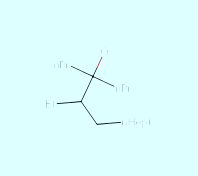 CCCCCCCCC(CC)C([O])(CCC)CCC